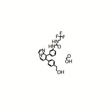 O=C(NCC(F)(F)F)Nc1cccc(-c2c(-c3ccc(CCO)cc3)ccn3ccnc23)c1.O=CO